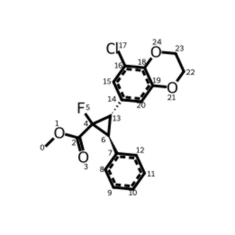 COC(=O)C1(F)[C@H](c2ccccc2)[C@H]1c1cc(Cl)c2c(c1)OCCO2